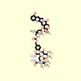 CC[C@@]1(OC(=O)CC(C)(C)CNC(=O)OCc2ccc(N(C(=O)[C@@H](NC(=O)OC(C)(C)C)C(C)C)[C@@H](CCCNC(N)=O)C(N)=O)cc2)C(=O)OCc2c1cc1n(c2=O)Cc2cc3c(Br)cccc3nc2-1